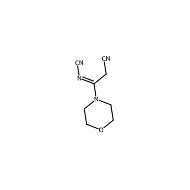 N#CCC(=NC#N)N1CCOCC1